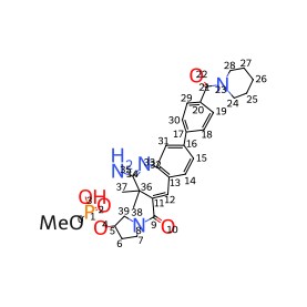 COP(=O)(O)OC1CCN(C(=O)C2=Cc3ccc(-c4ccc(C(=O)N5CCCCC5)cc4)cc3N=C(N)C2(C)C)C1